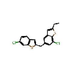 CCc1cc2cc(Cc3cc4ccc(Cl)cc4s3)cc(Cl)c2s1